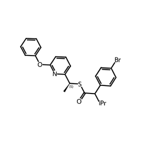 CC(C)C(C(=O)S[C@@H](C)c1cccc(Oc2ccccc2)n1)c1ccc(Br)cc1